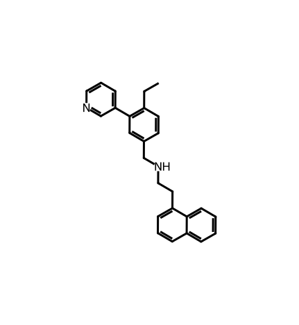 CCc1ccc(CNCCc2cccc3ccccc23)cc1-c1cccnc1